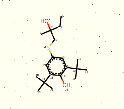 CCC(C)(O)CSc1cc(C(C)(C)C)c(O)c(C(C)(C)C)c1